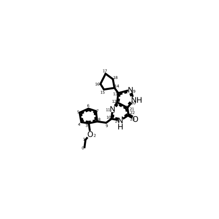 CCOc1ccccc1Cc1nc2c(C3CCCC3)n[nH]c2c(=O)[nH]1